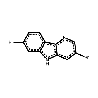 Brc1ccc2c(c1)[nH]c1cc(Br)cnc12